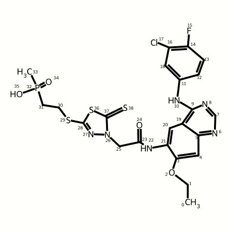 CCOc1cc2ncnc(Nc3ccc(F)c(Cl)c3)c2cc1NC(=O)Cn1nc(SCCP(C)(=O)O)sc1=S